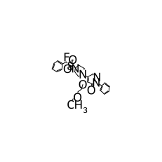 CCOCCOc1c(N2CCN(S(=O)(=O)C(F)c3ccccc3)CC2)cnn(-c2ccccc2)c1=O